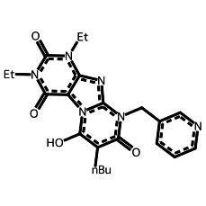 CCCCc1c(O)n2c3c(=O)n(CC)c(=O)n(CC)c3nc2n(Cc2cccnc2)c1=O